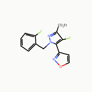 CCOC(=O)c1nn(Cc2ccccc2F)c(-c2ccon2)c1F